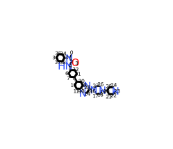 CN(C(=O)Nc1ccc(-c2ccc3ncc(N4CCN(c5ccncc5)CC4)nc3c2)cc1)c1ccccc1